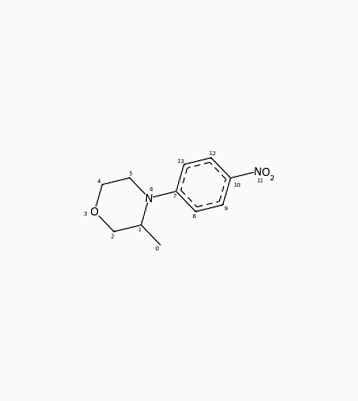 CC1COCCN1c1ccc([N+](=O)[O-])cc1